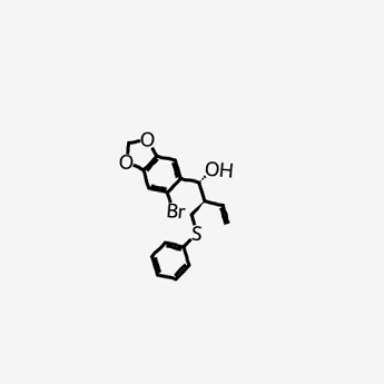 C=C[C@@H](CSc1ccccc1)[C@@H](O)c1cc2c(cc1Br)OCO2